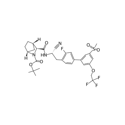 CC(C)(C)OC(=O)N1[C@@H]2CC[C@@H](C2)[C@H]1C(=O)N[C@H](C#N)Cc1ccc(-c2cc(OCC(F)(F)F)cc(S(C)(=O)=O)c2)cc1F